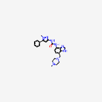 CN1CCN(Cc2ccc(NC(=O)Nc3cc(-c4ccccc4)n(C)n3)c3nc[nH]c23)CC1